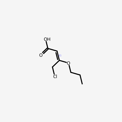 CCCO/C(=C/C(=O)O)CCl